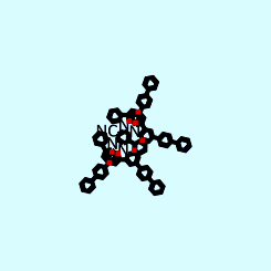 N#Cc1c(-n2c3ccccc3c3ccccc32)c(-n2c3ccc(-c4ccc(-c5ccccc5)cc4)cc3c3cc(-c4ccc(-c5ccccc5)cc4)ccc32)c(-c2ccccc2)c(-n2c3ccc(-c4ccc(-c5ccccc5)cc4)cc3c3cc(-c4ccc(-c5ccccc5)cc4)ccc32)c1-n1c2ccccc2c2ccccc21